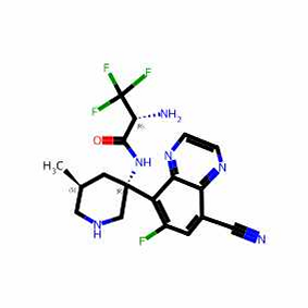 C[C@@H]1CNC[C@](NC(=O)[C@@H](N)C(F)(F)F)(c2c(F)cc(C#N)c3nccnc23)C1